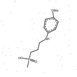 COc1ccc(NCCCP(C)(=O)O)cc1